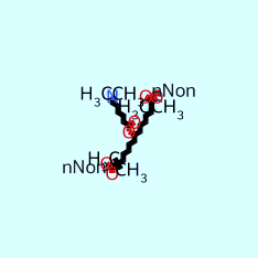 CCCCCCCCCOC(=O)C(C)(C)CCCCCC(CCCCCC(C)(C)C(=O)OCCCCCCCCC)OC(=O)CCCCCN(C)C